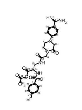 N=C(N)c1ccc(N2CCN(CC(=O)NC[C@H](NS(=O)(=O)c3ccc(F)cc3)C(=O)OC(=O)C(F)(F)F)C(=O)C2)cc1